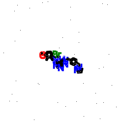 COc1ccc(Br)c(CNc2ncnc3nn(Cc4ccc(Cn5cccn5)cc4)cc23)c1C